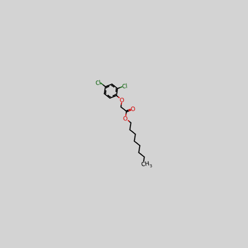 CCCCCCCCOC(=O)COc1ccc(Cl)cc1Cl